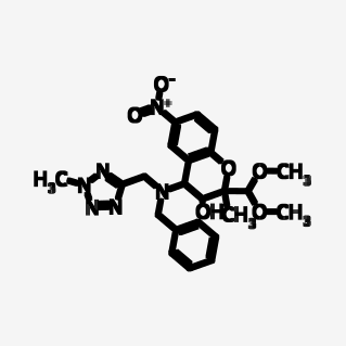 COC(OC)C1(C)Oc2ccc([N+](=O)[O-])cc2C(N(Cc2ccccc2)Cc2nnn(C)n2)C1O